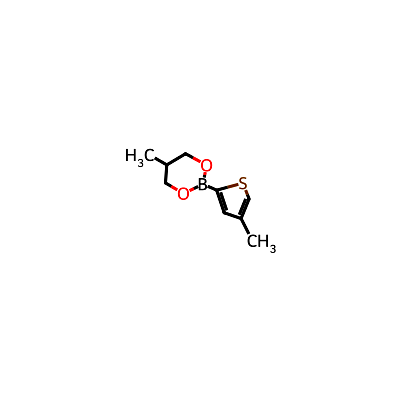 Cc1csc(B2OCC(C)CO2)c1